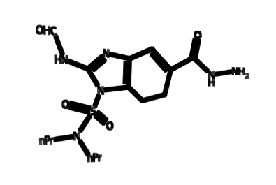 CCCN(CCC)S(=O)(=O)n1c(NC=O)nc2c1CCC(C(=O)NN)=C2